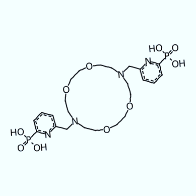 O=P(O)(O)c1cccc(CN2CCOCCOCCN(Cc3cccc(P(=O)(O)O)n3)CCOCCOCC2)n1